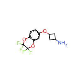 NC1CC(Oc2ccc3c(c2)OC(F)(F)C(F)(F)O3)C1